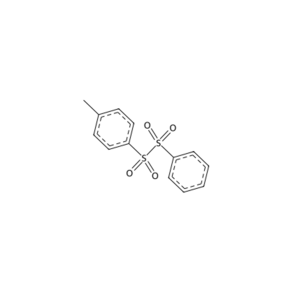 Cc1ccc(S(=O)(=O)S(=O)(=O)c2ccccc2)cc1